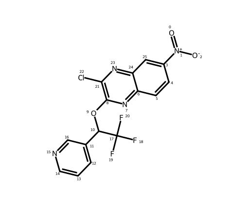 O=[N+]([O-])c1ccc2nc(OC(c3cccnc3)C(F)(F)F)c(Cl)nc2c1